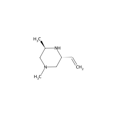 C=C[C@@H]1CN(C)C[C@@H](C)N1